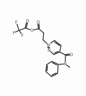 CN(C(=O)c1cc[n+](CCC(=O)OC(=O)C(F)(F)F)nc1)c1ccccc1